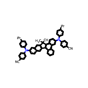 CC(C)c1ccc(N(c2ccc(C#N)cc2)c2ccc3cc4c(cc3c2)C(C)(C)c2c-4c3ccccc3c3cc(N(c4ccc(C#N)cc4)c4ccc(C(C)C)cc4)ccc23)cc1